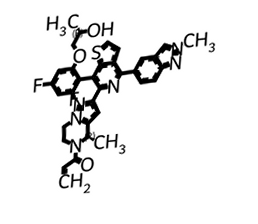 C=CC(=O)N1CCn2nc(-c3nc(-c4ccc5nn(C)cc5c4)c4ccsc4c3-c3c(F)cc(F)cc3OC[C@@H](C)O)cc2[C@H]1C